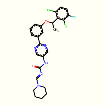 CC(Oc1cccc(-c2ncc(NC(=O)N=CN3CCCCC3)cn2)c1)c1c(Cl)ccc(F)c1Cl